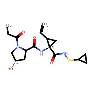 C=CC1C[C@]1(NC(=O)C1C[C@H](O)CN1C(=O)CC(C)(C)C)C(=O)NSC1CC1